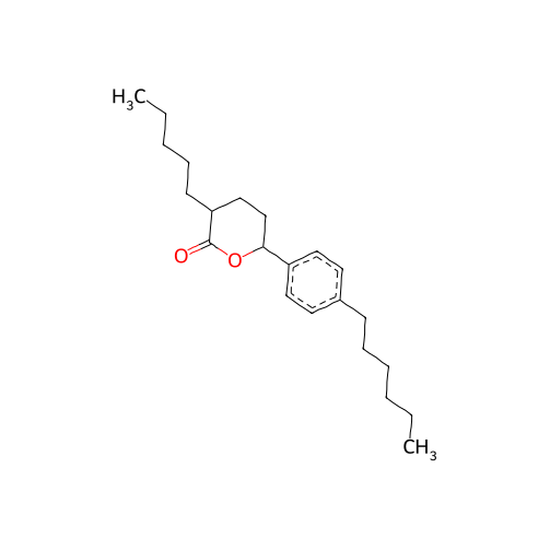 CCCCCCc1ccc(C2CCC(CCCCC)C(=O)O2)cc1